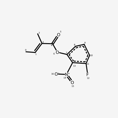 CC=C(C)C(=O)Oc1cccc(F)c1[N+](=O)[O-]